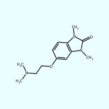 CN(C)CCOc1ccc2c(c1)n(C)c(=O)n2C